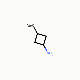 CSC1CC(N)C1